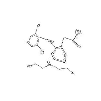 O=C(O)Cc1ccccc1Nc1c(Cl)cccc1Cl.OCCNCCO